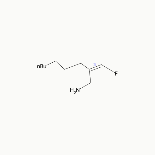 CCCCCCC/C(=C/F)CN